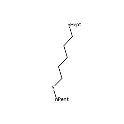 CCCCCCCCCCCCSCCCCC